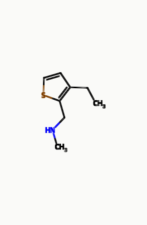 CCc1ccsc1CNC